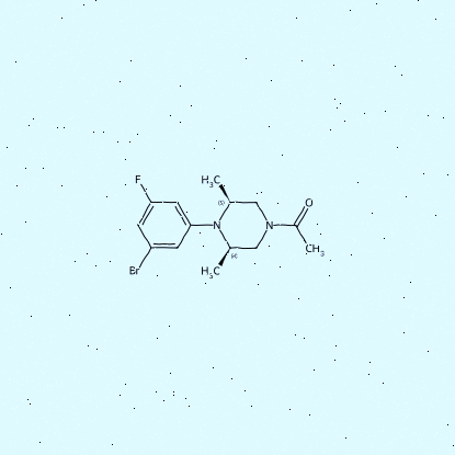 CC(=O)N1C[C@@H](C)N(c2cc(F)cc(Br)c2)[C@@H](C)C1